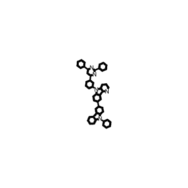 c1ccc(-c2cc(-c3cccc(-n4c5ccc(-c6ccc7c(c6)c6ccccc6n7-c6ccccc6)cc5c5ncccc54)c3)nc(-c3ccccc3)n2)cc1